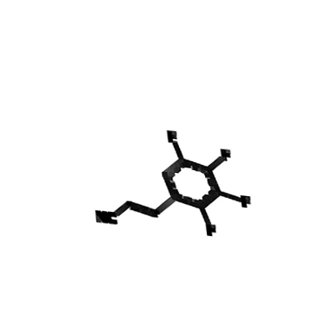 N#CC=Cc1cc(F)c(F)c(F)c1F